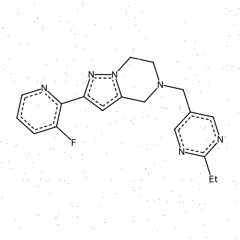 CCc1ncc(CN2CCn3nc(-c4ncccc4F)cc3C2)cn1